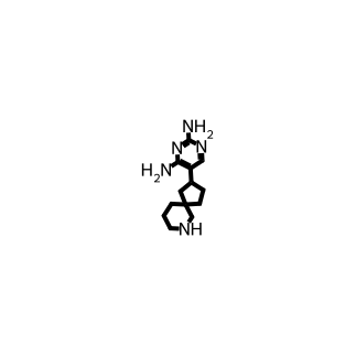 Nc1ncc(C2CCC3(CCCNC3)C2)c(N)n1